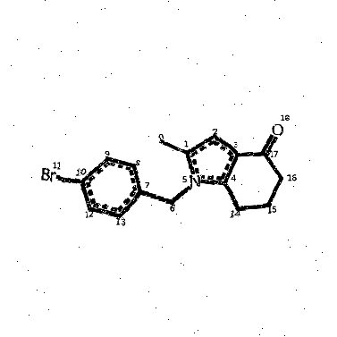 Cc1cc2c(n1Cc1ccc(Br)cc1)CCCC2=O